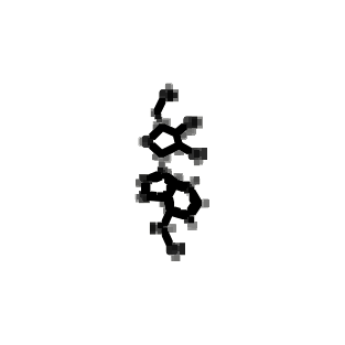 OC[C@H]1O[C@@H](n2nnc3c(NO)ncnc32)C(O)C1O